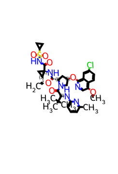 C=C[C@@H]1C[C@]1(NC(=O)[C@@H]1C[C@@H](Oc2ncc(OC)c3ccc(Cl)cc23)CN1C(=O)[C@H](Nc1cccc(C)n1)C(C)(C)C)C(=O)NS(=O)(=O)C1CC1